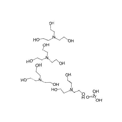 OCCN(CCO)CCO.OCCN(CCO)CCO.OCCN(CCO)CCO.OCCN(CCO)CCO.[O]=[Zr]([OH])[OH]